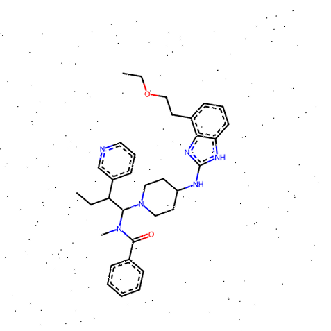 CCOCCc1cccc2[nH]c(NC3CCN(C(C(CC)c4cccnc4)N(C)C(=O)c4ccccc4)CC3)nc12